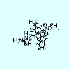 CCN1CC2N(C(=O)OC)O[C@H](Cc3ccccc3)C(=O)N2[C@@H](CCCNC(=N)N)C1=O